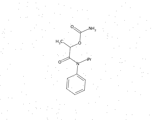 CC(OC(N)=O)C(=O)N(c1ccccc1)C(C)C